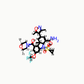 Cc1noc(C)c1C1=CC2(C)c3c(C(=O)N4C[C@@H](C)O[C@@H](C)C4)cc(OC(F)(F)F)cc3N(S(=O)(=O)C3CC3)C2C(C(N)=O)=C1